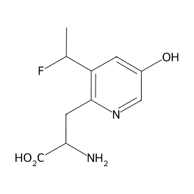 CC(F)c1cc(O)cnc1CC(N)C(=O)O